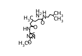 COc1nsc(NC(=O)CC(C)C[C@H](N)C(=O)NCCC(C)C)n1